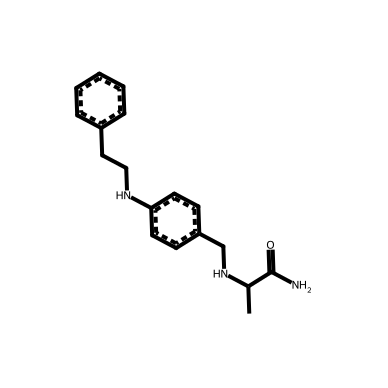 CC(NCc1ccc(NCCc2ccccc2)cc1)C(N)=O